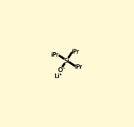 CC(C)[Si]([O-])(C(C)C)C(C)C.[Li+]